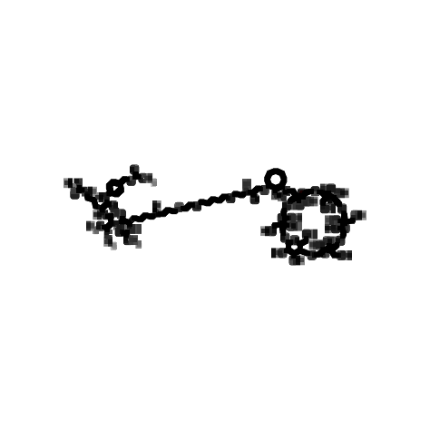 CC(=O)N[C@H](CCCCNCCCOCCOCCCCCOCCNC(=O)COC1CCCCCc2c1nnn2CC1OC2OC3C(CO)OC(OC4C(CO)OC(OC5C(CO)OC(OC6C(CO)OC(OC7C(CO)OC(OC1C(O)C2O)C(O)C7O)C(O)C6O)C(O)C5O)C(O)C4O)C(O)C3O)C(=O)N[C@H](C(=O)N[C@@H](CCCNC(N)=O)C(=O)Nc1ccc(COC(C)=O)cc1)C(C)C